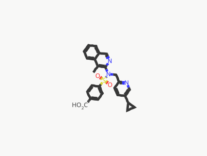 Cc1c(N(Cc2ccc(C3CC3)cn2)S(=O)(=O)c2ccc(C(=O)O)cc2)ncc2ccccc12